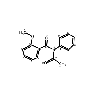 COc1ccccc1C(=O)N(C(C)=O)c1ccccc1